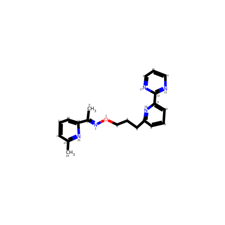 C/C(=N\OCCCc1cccc(-c2ncccn2)n1)c1cccc(C)n1